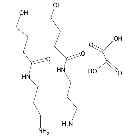 NCCCNC(=O)CCCO.NCCCNC(=O)CCCO.O=C(O)C(=O)O